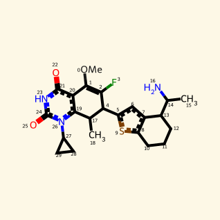 COC1=C(F)C(c2cc3c(s2)CCCC3C(C)N)C(C)c2c1c(=O)[nH]c(=O)n2C1CC1